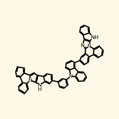 c1cc(-c2ccc3c(c2)[nH]c2c3cc3c4ccccc4c4ccccc4n32)cc(-n2c3ccccc3c3c(-c4ccc5c6ccccc6n6c(nc7c8ccccc8[nH]c76)c5c4)cccc32)c1